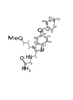 COCCCn1c(CNCC(N)=O)nc2ccc(Oc3ccc(C)cc3)cc21